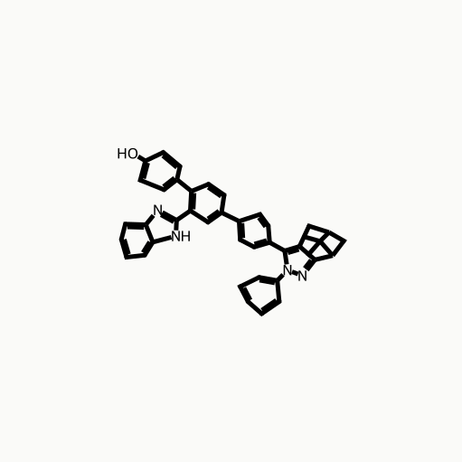 CC1(C)C2Cc3c(nn(-c4ccccc4)c3-c3ccc(-c4ccc(-c5ccc(O)cc5)c(-c5nc6ccccc6[nH]5)c4)cc3)C1C2